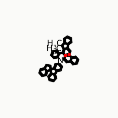 CC1(C)c2ccccc2-c2cccc(-c3ccccc3N(c3ccc4c(c3)C3(CCc5ccccc53)c3ccccc3-4)c3ccc4ccccc4c3)c21